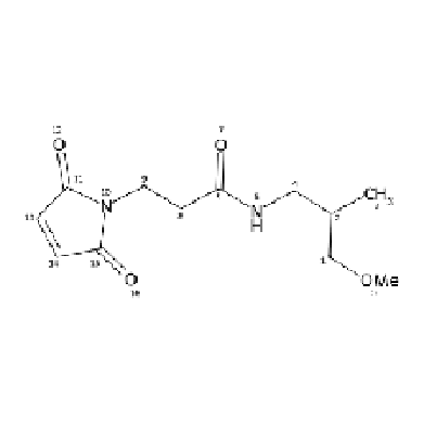 COCC(C)CNC(=O)CCN1C(=O)C=CC1=O